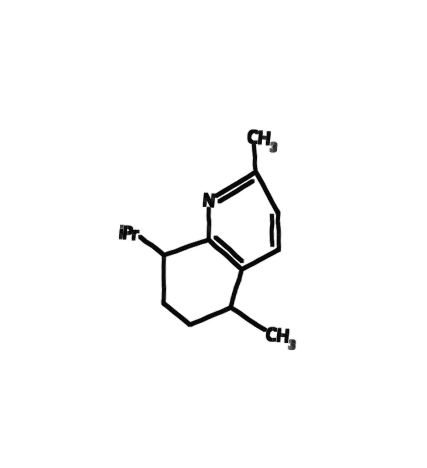 Cc1ccc2c(n1)C(C(C)C)CCC2C